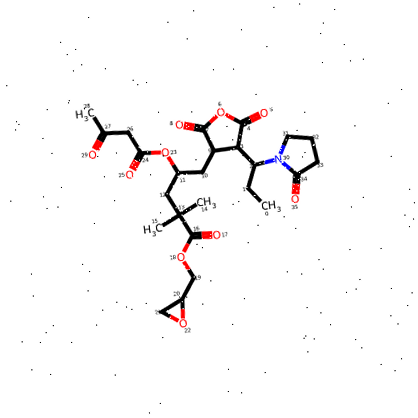 CCC(C1C(=O)OC(=O)C1CC(CC(C)(C)C(=O)OCC1CO1)OC(=O)CC(C)=O)N1CCCC1=O